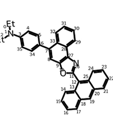 CCN(CC)c1ccc(-c2cc3oc(-c4c5ccccc5cc5ccccc45)nc3c3ccccc23)cc1